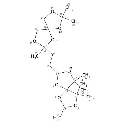 CC1OC(C)(C)C2(O1)OC(CCC1(C)OCC3(COC(C)(C)O3)O1)OC2(C)C